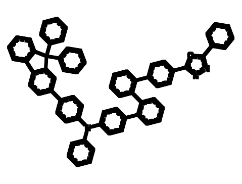 c1ccc(-c2nnc(-c3ccc(-c4ccccc4-c4ccccc4-c4ccc(N(c5ccccc5)c5ccc(-c6ccc7c(c6)C(c6ccccc6)(c6ccccc6)c6ccccc6-7)cc5)cc4)cc3)o2)cc1